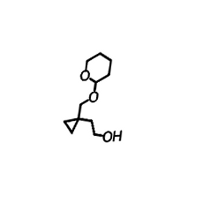 OCCC1(COC2CCCCO2)CC1